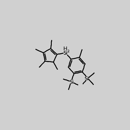 CC1=C(C)C(C)C([SiH2]c2cc([Si](C)(C)C)c([Si](C)(C)C)cc2C)=C1C